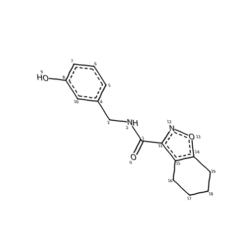 O=C(NCc1cccc(O)c1)c1noc2c1CCCC2